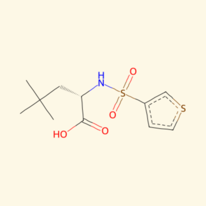 CC(C)(C)C[C@H](NS(=O)(=O)c1ccsc1)C(=O)O